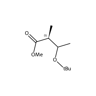 COC(=O)[C@@H](C)C(C)OC(C)(C)C